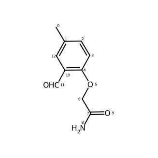 Cc1ccc(OCC(N)=O)c(C=O)c1